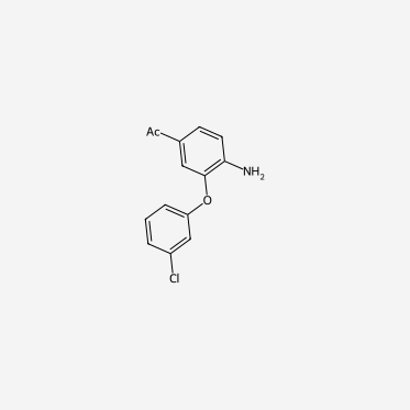 CC(=O)c1ccc(N)c(Oc2cccc(Cl)c2)c1